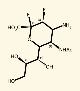 CC(=O)N[C@H]1C([C@H](O)[C@H](O)CO)O[C@@](F)(C(=O)O)[C@@H](F)C1N